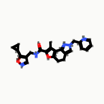 Cc1c(C(=O)NCc2cnoc2C2CC2)oc2c1-c1nn(Cc3ccccn3)cc1CC2